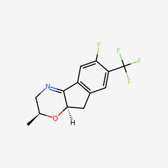 C[C@H]1CN=C2c3cc(F)c(C(F)(F)F)cc3C[C@H]2O1